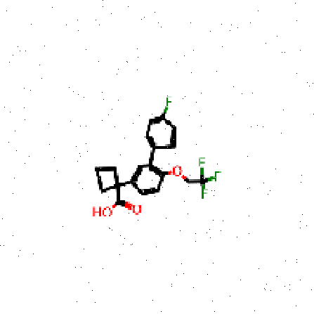 O=C(O)C1(c2ccc(OCC(F)(F)F)c(-c3ccc(F)cc3)c2)CCC1